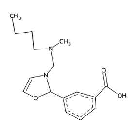 CCCCN(C)CN1C=COC1c1cccc(C(=O)O)c1